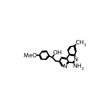 COc1ccc(C(O)Cc2cnc3c(N)nc4cc(C)ccc4c3c2)cc1